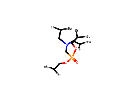 CCCCC(CC)COP(=O)(CN(CC(CC)CCCC)CC(CC)CCCC)OCC(CC)CCCC